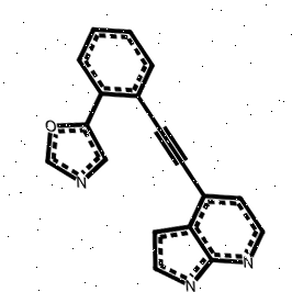 C(#Cc1ccnc2[nH]ccc12)c1ccccc1-c1cnco1